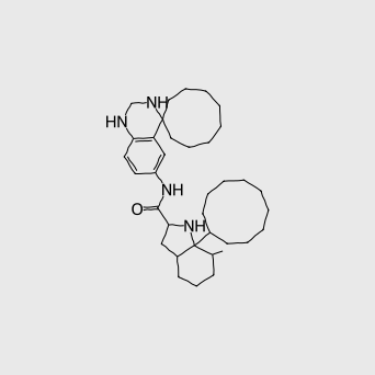 CC1CCCC2CC(C(=O)Nc3ccc4c(c3)C3(CCCCCCCC3)NCN4)NC12C1CCCCCCCCC1